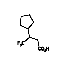 O=C(O)CC(C1CCCC1)C(F)(F)F